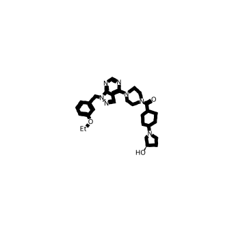 CCOc1cccc(Cn2ncc3c(N4CCN(C(=O)C5CCC(N6CC[C@H](O)C6)CC5)CC4)ncnc32)c1